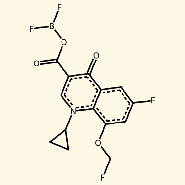 O=C(OB(F)F)c1cn(C2CC2)c2c(OCF)cc(F)cc2c1=O